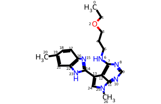 CCOCCCNc1ncnc2c1c(-c1nc3ccc(C)cc3[nH]1)cn2C